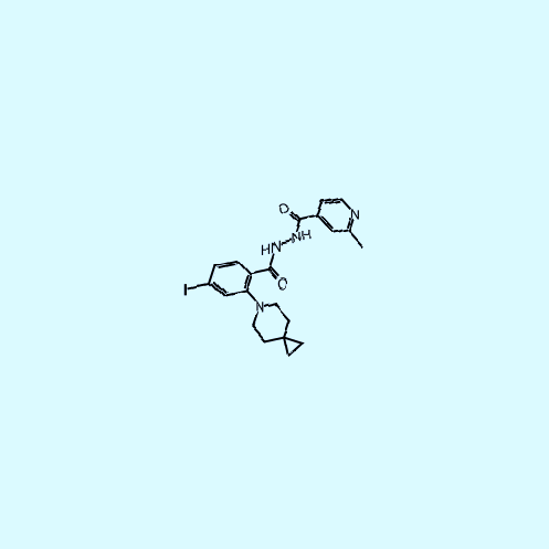 Cc1cc(C(=O)NNC(=O)c2ccc(I)cc2N2CCC3(CC2)CC3)ccn1